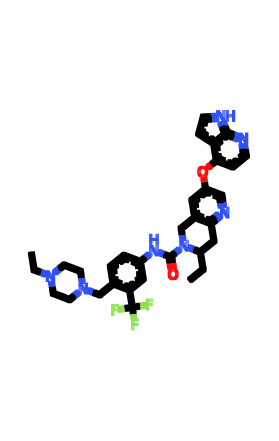 CCC1Cc2ncc(Oc3ccnc4[nH]ccc34)cc2CN1C(=O)Nc1ccc(CN2CCN(CC)CC2)c(C(F)(F)F)c1